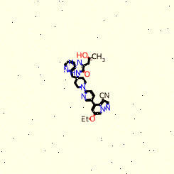 CCOc1cc(-c2ccc(N3CCC(Cc4ccccn4)(NC(=O)[C@@H](N)C[C@@H](C)O)CC3)nc2)c2c(C#N)cnn2c1